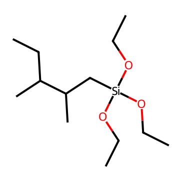 CCO[Si](CC(C)C(C)CC)(OCC)OCC